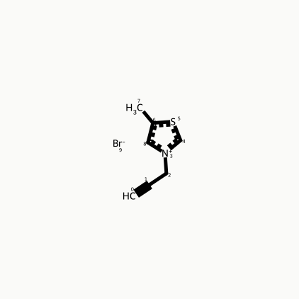 C#CC[n+]1csc(C)c1.[Br-]